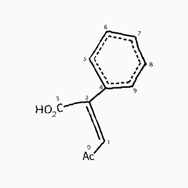 CC(=O)C=C(C(=O)O)c1ccccc1